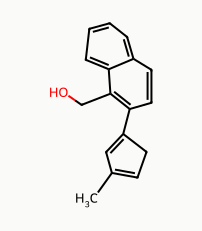 CC1=CCC(c2ccc3ccccc3c2CO)=C1